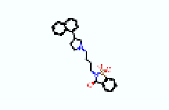 O=C1c2ccccc2S(=O)(=O)N1CCCCN1CCC(c2cccc3ccccc23)C1